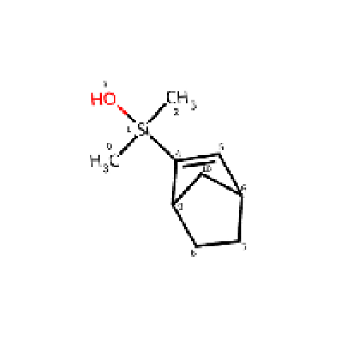 C[Si](C)(O)C1=CC2CCC1C2